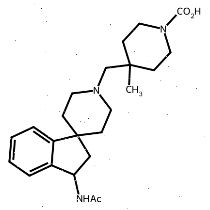 CC(=O)NC1CC2(CCN(CC3(C)CCN(C(=O)O)CC3)CC2)c2ccccc21